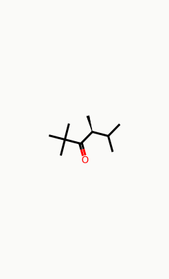 CC(C)[C@H](C)C(=O)C(C)(C)C